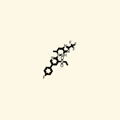 CCS(=O)(=O)c1cc(-c2ccc(F)cc2)cnc1N1NC2=NC(C(F)(F)F)=NC2=CC1C